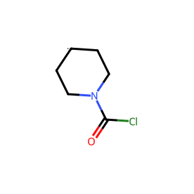 O=C(Cl)N1CC[CH]CC1